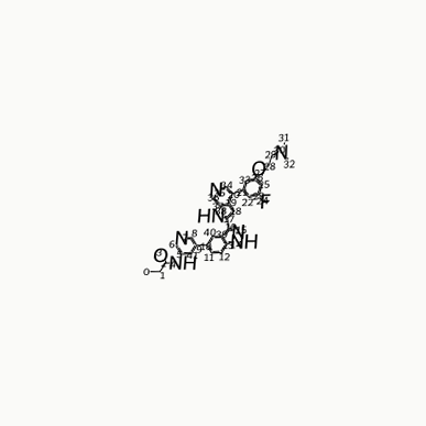 CCC(=O)Nc1cncc(-c2ccc3[nH]nc(-c4cc5c(-c6cc(F)cc(OCCN(C)C)c6)cncc5[nH]4)c3c2)c1